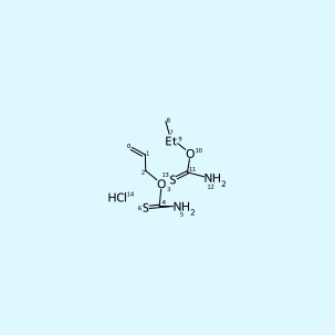 C=CCOC(N)=S.CC.CCOC(N)=S.Cl